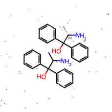 CC(N)C(O)(c1ccccc1)c1ccccc1.C[C@H](N)C(O)(c1ccccc1)c1ccccc1